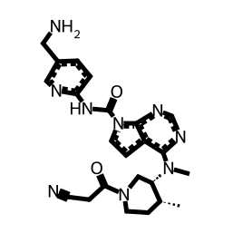 C[C@@H]1CCN(C(=O)CC#N)C[C@@H]1N(C)c1ncnc2c1ccn2C(=O)Nc1ccc(CN)cn1